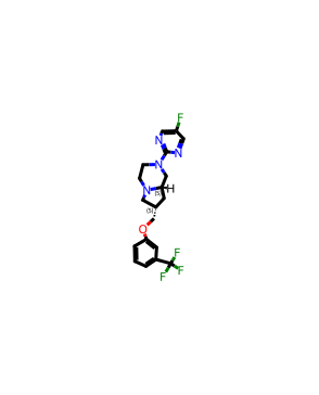 Fc1cnc(N2CCN3C[C@@H](COc4cccc(C(F)(F)F)c4)C[C@H]3C2)nc1